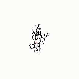 N#Cc1cnc(NCc2ccccc2OC(F)(F)F)nc1NC[C@]12CC3C[C@H](C1)[C@H](NCC(F)(F)F)[C@@H](C3)C2